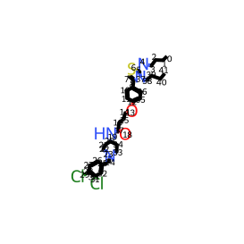 CCCCN=c1scc(-c2ccc(OCCCC(=O)NC3CCN(Cc4ccc(Cl)c(Cl)c4)CC3)cc2)n1CCCC